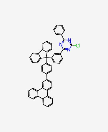 Clc1nc(-c2ccccc2)nc(-c2cccc(C3(c4ccc(-c5ccc6c7ccccc7c7ccccc7c6c5)cc4)c4ccccc4-c4ccccc43)c2)n1